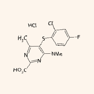 CNc1nc(C(=O)O)nc(C)c1Sc1ccc(F)cc1Cl.Cl